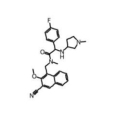 COc1c(C#N)cc2ccccc2c1CN(C)C(=O)C(NC1CCN(C)C1)c1ccc(F)cc1